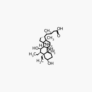 C=C[C@@]12C[C@H](O)CC[C@]1(C)[C@@]1(N)CC[C@]3(C)[C@@H]([C@H](C)CCC(=O)O)CC[C@@]3(N)[C@@H]1[C@H](O)[C@@H]2CC